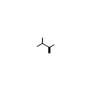 CCC(O)C([O])=O